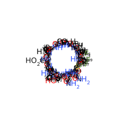 CCCC[C@H]1C(=O)N2CCC[C@@H]2C(=O)N[C@@H](CC(=O)O)C(=O)N[C@@H](C(C)C)C(=O)N(C)[C@@H](Cc2ccccc2)C(=O)N[C@@H](CCC(=O)O)C(=O)N2CCCC[C@@H]2C(=O)N[C@@H](Cc2c[nH]c3ccccc23)C(=O)N[C@@H](Cc2ccc(O)cc2)C(=O)N[C@@H](CCCC(N)=O)C(=O)N[C@H](C(=O)NCC(N)=O)CSCC(=O)N[C@@H](Cc2cc(F)c(F)c(F)c2)C(=O)N(C)[C@@H](Cc2ccc(F)cc2)C(=O)N1C